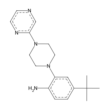 CC(C)(C)c1ccc(N)c(N2CCN(c3cnccn3)CC2)c1